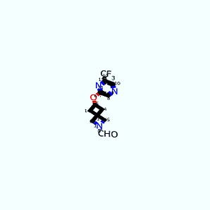 O=CN1CC2(CC(Oc3cncc(C(F)(F)F)n3)C2)C1